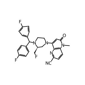 Cn1c(=O)cc(N2CCN(C(c3ccc(F)cc3)c3ccc(F)cc3)[C@H](CF)C2)c2nc(C#N)ccc21